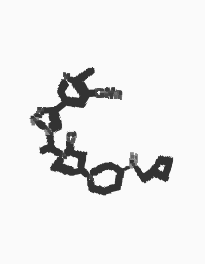 COc1cc(-c2cn(C(C)n3ccc(N4CCC[C@@H](NCC5CCC5)C4)cc3=O)nn2)cnc1C